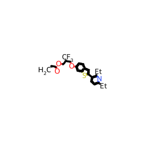 C=CC(=O)OCC(COc1ccc2cc(-c3ccc(CC)nc3CC)sc2c1)C(F)(F)F